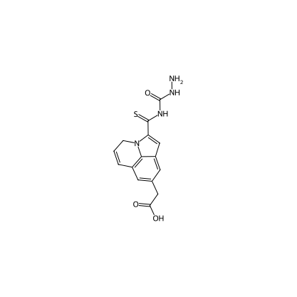 NNC(=O)NC(=S)c1cc2cc(CC(=O)O)cc3c2n1CC=C3